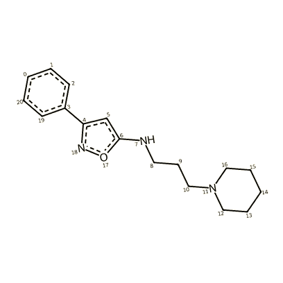 c1ccc(-c2cc(NCCCN3CCCCC3)on2)cc1